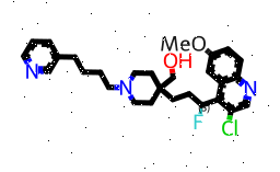 COc1ccc2ncc(Cl)c([C@@H](F)CCC3(CO)CCN(CCCCc4cccnc4)CC3)c2c1